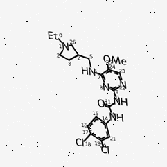 CCN1CCC(CNc2nc(NC(=O)Nc3ccc(Cl)c(Cl)c3)ncc2OC)C1